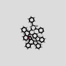 c1ccc(C2=NC(c3c(-c4ccc5c(c4)C4(c6ccccc6-5)c5ccccc5-c5c4c4ccccc4c4ccccc54)c4ccccc4c4ccccc34)=NC(c3ccccc3)N2)cc1